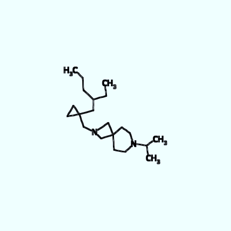 CCCC(CC)CC1(CN2CC3(CCN(C(C)C)CC3)C2)CC1